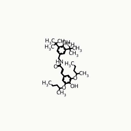 CCCC(C)Oc1cc(C=CC(=O)NCc2cc(C(C)(C)C)c(O)c(C(C)(C)C)c2)cc(OC(C)CCC)c1O